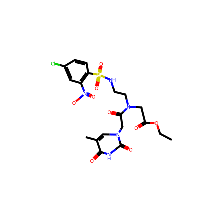 CCOC(=O)CN(CCNS(=O)(=O)c1ccc(Cl)cc1[N+](=O)[O-])C(=O)Cn1cc(C)c(=O)[nH]c1=O